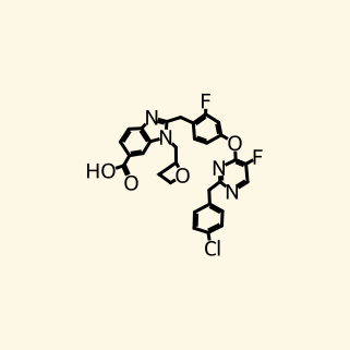 O=C(O)c1ccc2nc(Cc3ccc(Oc4nc(Cc5ccc(Cl)cc5)ncc4F)cc3F)n(CC3CCO3)c2c1